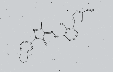 CC1=NN(c2ccc3c(c2)CCC3)C(=O)/C1=N\Nc1cccc(C2CC=C(C(=O)O)O2)c1O